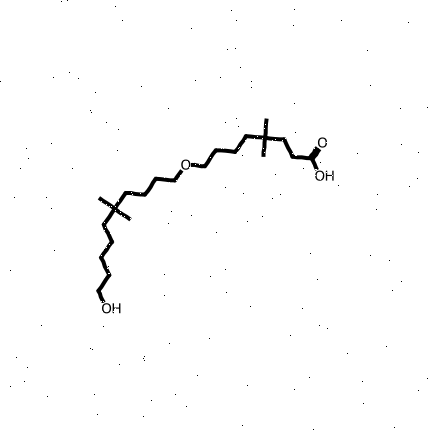 CC(C)(CCCCCO)CCCCOCCCCC(C)(C)CCC(=O)O